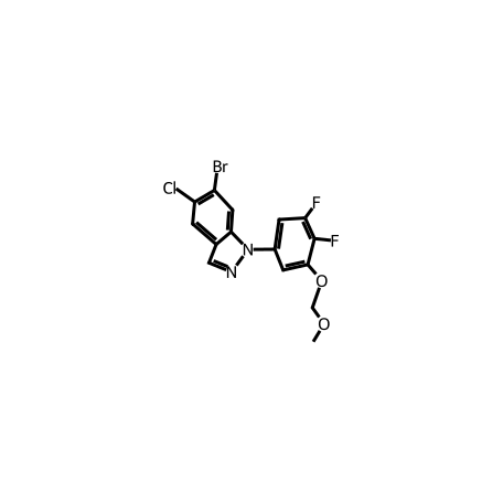 COCOc1cc(-n2ncc3cc(Cl)c(Br)cc32)cc(F)c1F